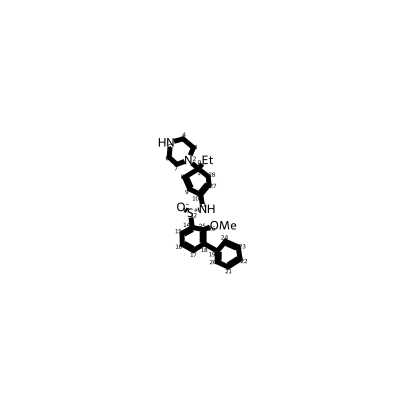 CCC1(N2CCNCC2)C=CC(N[S+]([O-])c2cccc(-c3ccccc3)c2OC)=CC1